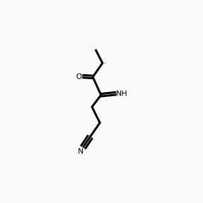 C[CH]C(=O)C(=N)CCC#N